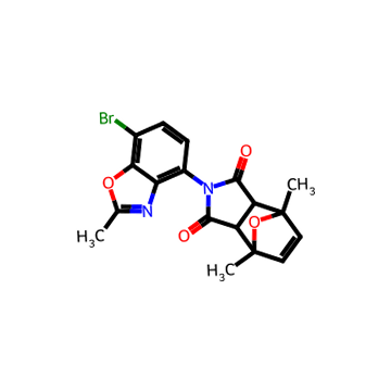 Cc1nc2c(N3C(=O)C4C(C3=O)C3(C)C=CC4(C)O3)ccc(Br)c2o1